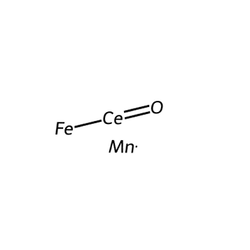 [Mn].[O]=[Ce][Fe]